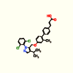 Cc1cc(OCc2c(C(C)C)cnn2-c2c(Cl)cccc2Cl)ccc1-c1ccc(/C=C/C(=O)O)cc1